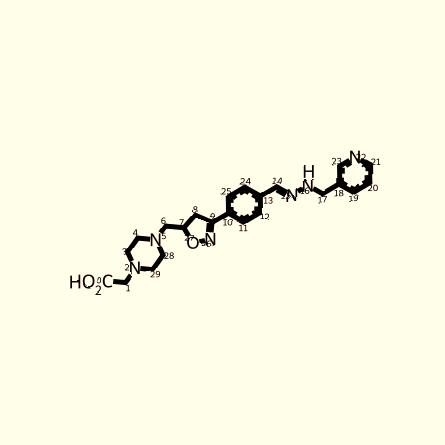 O=C(O)CN1CCN(CC2CC(c3ccc(C=NNCc4cccnc4)cc3)=NO2)CC1